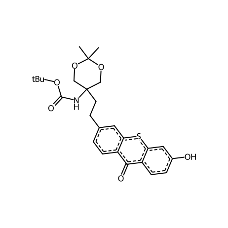 CC(C)(C)OC(=O)NC1(CCc2ccc3c(=O)c4ccc(O)cc4sc3c2)COC(C)(C)OC1